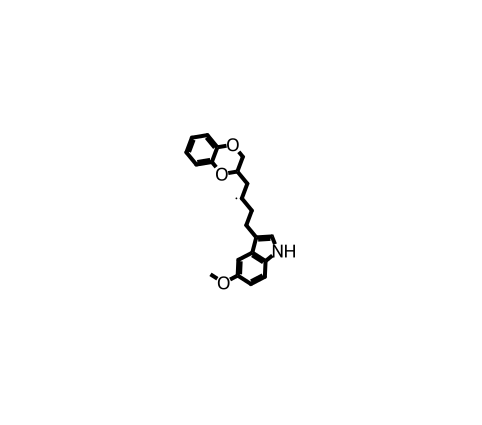 COc1ccc2[nH]cc(CC[CH]CC3COc4ccccc4O3)c2c1